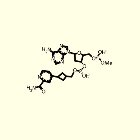 COP(O)OCC1OC(n2cnc3c(N)ncnc32)C[C@@H]1OP(O)OCC1CC(c2ccnc(C(N)=O)c2)C1